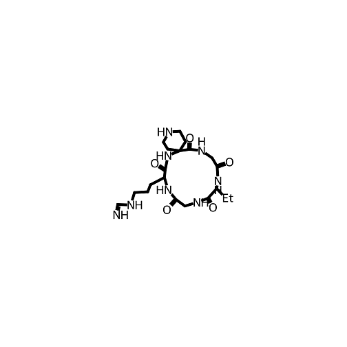 CCC1NC(=O)CNC(=O)C2(CCNCC2)NC(=O)C(CCCNC=N)NC(=O)CNC1=O